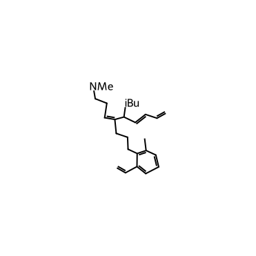 C=CC=CC(/C(=C\CCNC)CCCc1c(C)cccc1C=C)C(C)CC